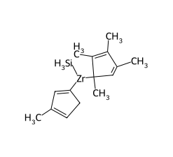 CC1=CC[C]([Zr]([SiH3])[C]2(C)C=C(C)C(C)=C2C)=C1